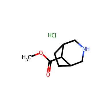 COC(=O)C1C2CCC1CNC2.Cl